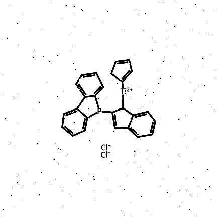 C1=CC[C]([Ti+2][CH]2C(p3c4ccccc4c4ccccc43)=Cc3ccccc32)=C1.[Cl-].[Cl-]